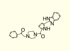 O=C(CN1CCN(C(=O)c2ccc(-c3nc4ccccc4[nH]3)[nH]2)CC1)c1ccccc1